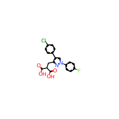 O=C(O)C(Cc1nn(-c2ccc(F)cc2)cc1-c1ccc(Cl)cc1)C(=O)O